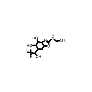 CCNC1=NC2C(CC(C(O)C(F)(F)F)C(O)C2O)O1